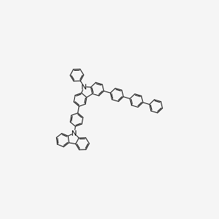 c1ccc(-c2ccc(-c3ccc(-c4ccc5c(c4)c4cc(-c6ccc(-n7c8ccccc8c8ccccc87)cc6)ccc4n5-c4ccccc4)cc3)cc2)cc1